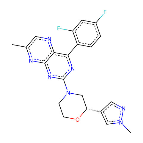 Cc1cnc2c(-c3ccc(F)cc3F)nc(N3CCO[C@@H](c4cnn(C)c4)C3)nc2n1